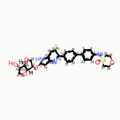 O=S1(=Nc2ccc(-c3ccc(-c4nc5cc(O[C@@H]6CO[C@H]7[C@@H]6OC[C@H]7O)[nH]c5cc4F)cc3)cc2)CCOCC1